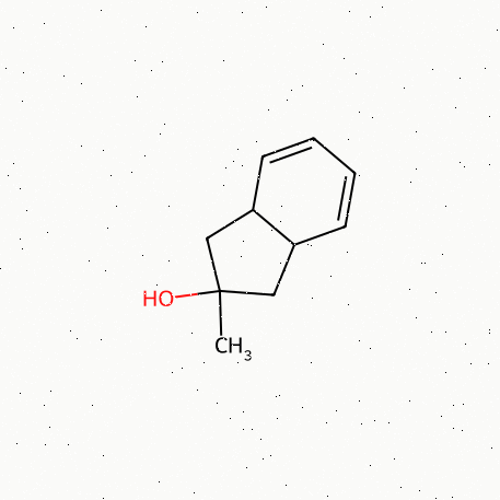 CC1(O)CC2C=CC=CC2C1